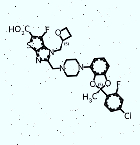 C[C@]1(c2ccc(Cl)cc2F)Oc2cccc(N3CCN(Cc4nc5sc(C(=O)O)c(F)c5n4C[C@@H]4CCO4)CC3)c2O1